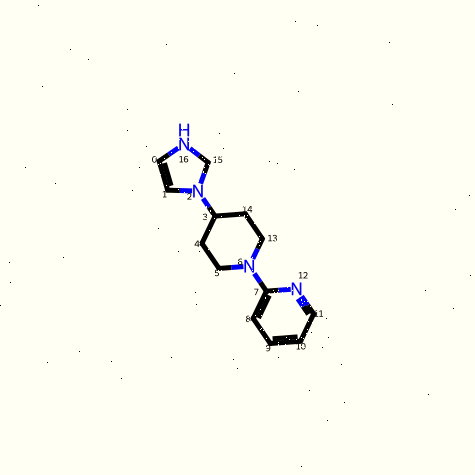 C1=CN(C2CCN(c3ccccn3)CC2)CN1